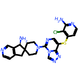 Nc1nccc(Sc2cnc(N3CCC4(CC3)Cc3ccncc3[C@H]4N)n3cnnc23)c1Cl